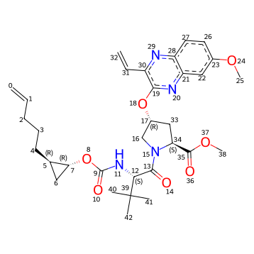 C=CCCC[C@@H]1C[C@H]1OC(=O)N[C@H](C(=O)N1C[C@H](Oc2nc3cc(OC)ccc3nc2C=C)C[C@H]1C(=O)OC)C(C)(C)C